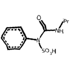 CC(C)NC(=O)N(c1ccccc1)S(=O)(=O)O